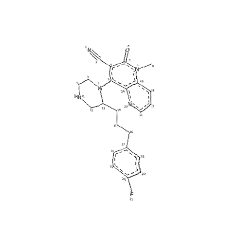 Cn1c(=O)c(C#N)c(N2CCNCC2CCCc2ccc(F)cc2)c2ncccc21